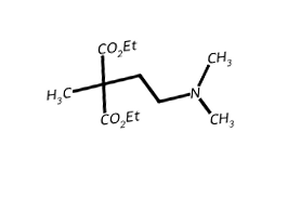 CCOC(=O)C(C)(CCN(C)C)C(=O)OCC